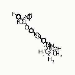 CC(C)C(C(C)O)n1ncn(-c2ccc(N3CCN(c4ccc(OCC5COC(Cn6cncn6)(c6ccc(F)cc6F)C5)cc4)CC3)cc2)c1=O